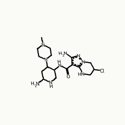 CN1CCN(C2CC(N)NCC2NC(=O)c2c(N)nn3c2NCC(Cl)C3)CC1